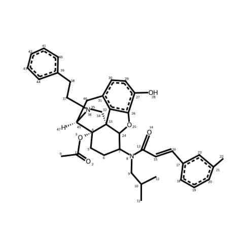 CC(=O)O[C@@]12CCC(N(CC(C)C)C(=O)/C=C/c3cccc(C)c3)C3Oc4c(O)ccc5c4[C@@]31CCN(CCc1ccccc1)[C@@H]2C5